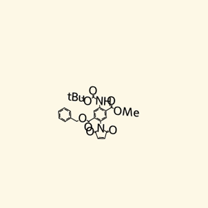 COC(=O)c1cc(N2C(=O)C=CC2=O)c(C(=O)OCc2ccccc2)cc1NC(=O)OC(C)(C)C